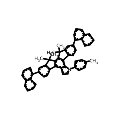 Cc1ccc(-n2ccc3c4c(c5c(c32)-c2ccc(-c3cccc6ccccc36)cc2C5(C)C)C(C)(C)c2cc(-c3cccc5ccccc35)ccc2-4)cc1